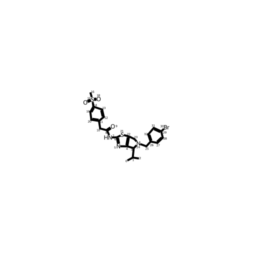 CC(C)C1c2nc(NC(=O)Cc3ccc(S(C)(=O)=O)cc3)sc2CN1Cc1ccc(Br)cc1